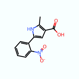 Cc1[nH]c(-c2ccccc2[N+](=O)[O-])cc1C(=O)O